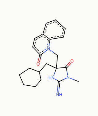 CN1C(=N)NC(CC2CCCCC2)(Cn2c(=O)ccc3ccccc32)C1=O